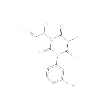 C=CC(C)N1C(=O)C(C(C)=O)C(=O)N(c2cccc(C)c2)C1=O